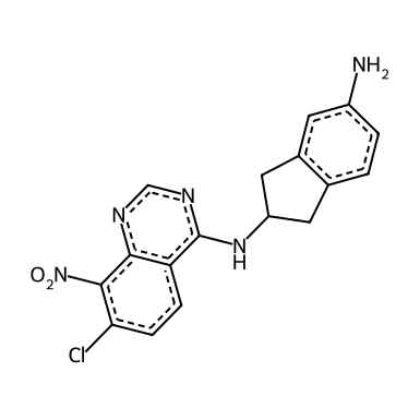 Nc1ccc2c(c1)CC(Nc1ncnc3c([N+](=O)[O-])c(Cl)ccc13)C2